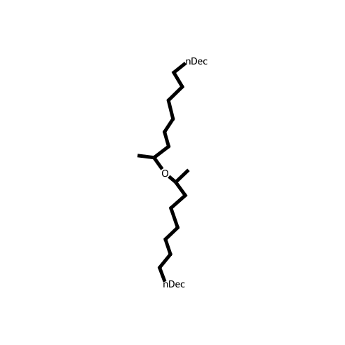 CCCCCCCCCCCCCCCCC(C)OC(C)CCCCCCCCCCCCCCCC